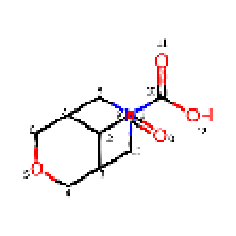 O=CC1C2COCC1CN(C(=O)O)C2